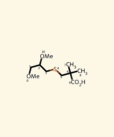 COCC(CSCC(C)(C)C(=O)O)OC